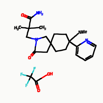 CNC1(c2ccccn2)CCC2(CC1)CC(=O)N(CC(C)(C)C(N)=O)C2.O=C(O)C(F)(F)F